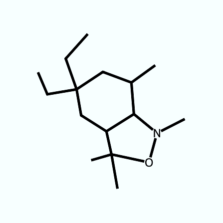 CCC1(CC)CC(C)C2C(C1)C(C)(C)ON2C